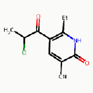 CCc1[nH]c(=O)c(C#N)cc1C(=O)C(C)Cl